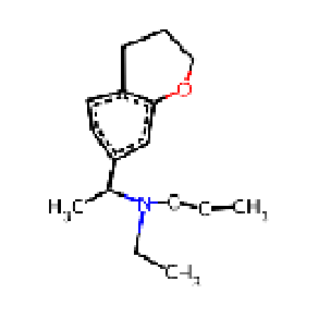 CCCN(CC)C(C)c1ccc2c(c1)OCCC2